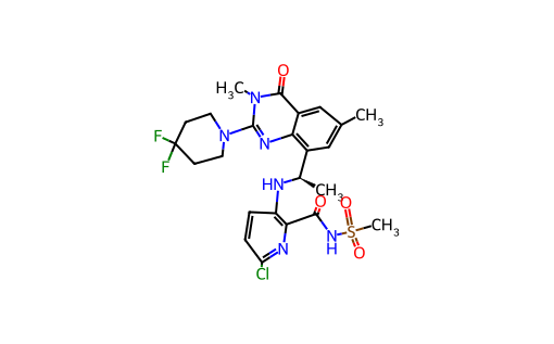 Cc1cc([C@@H](C)Nc2ccc(Cl)nc2C(=O)NS(C)(=O)=O)c2nc(N3CCC(F)(F)CC3)n(C)c(=O)c2c1